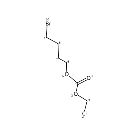 O=C(OCCl)OCCCCBr